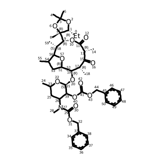 CC[C@H]1OC(C)(C)O[C@@]1(C)[C@@H]1OC(=O)[C@H](C)C(=O)[C@H](C)[C@@H](O[C@@H]2OC(C)CC(N(C)C(=O)OCc3ccccc3)C2OC(=O)OCc2ccccc2)[C@@]2(C)CC(C)C(O2)[C@@H]1C